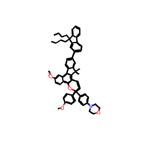 CCCCC1(CCCC)c2ccccc2-c2ccc(-c3ccc4c(c3)C(C)(C)c3c5c(c6ccc(OC)cc6c3-4)OC(c3ccc(OC)cc3)(c3ccc(N4CCOCC4)cc3)C=C5)cc21